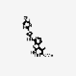 COC(=N)/C(C)=C1\C(=N)Sc2c1ccnc2NC1CN(c2ncc(C(F)(F)F)cn2)C1